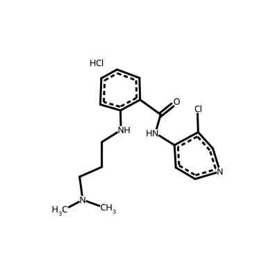 CN(C)CCCNc1ccccc1C(=O)Nc1ccncc1Cl.Cl